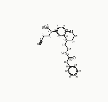 C#CCCN(CCCC)c1ccc2c(c1)C(CCNC(=O)Cc1ccccc1)CCO2